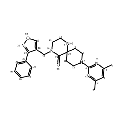 Cc1cc(C)nc(N2CCC3(CC2)NCCN(Cc2conc2-c2ccccc2)C3=O)n1